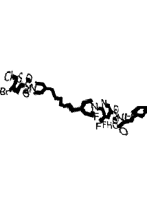 O=C(O)C(Cc1ccccc1)NS(=O)(=O)c1cnc(N2CCC(CCCCCCC3CCN(S(=O)(=O)c4cc(Br)c(Cl)s4)CC3)CC2)c(C(F)(F)F)c1